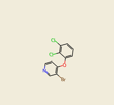 Clc1cccc(Oc2[c]cncc2Br)c1Cl